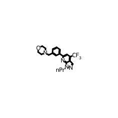 CCCn1ncc2c(C(F)(F)F)cc(-c3cccc(CN4CCOCC4)c3)nc21